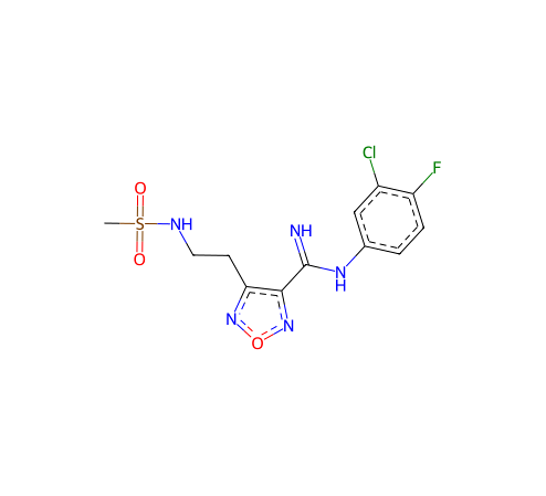 CS(=O)(=O)NCCc1nonc1C(=N)Nc1ccc(F)c(Cl)c1